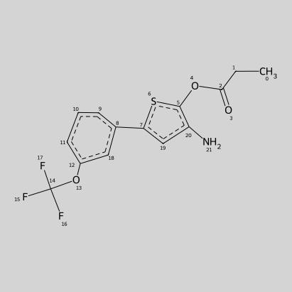 CCC(=O)Oc1sc(-c2cccc(OC(F)(F)F)c2)cc1N